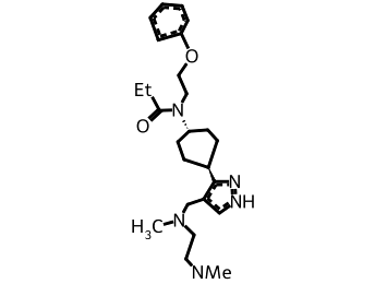 CCC(=O)N(CCOc1ccccc1)[C@H]1CC[C@H](c2n[nH]cc2CN(C)CCNC)CC1